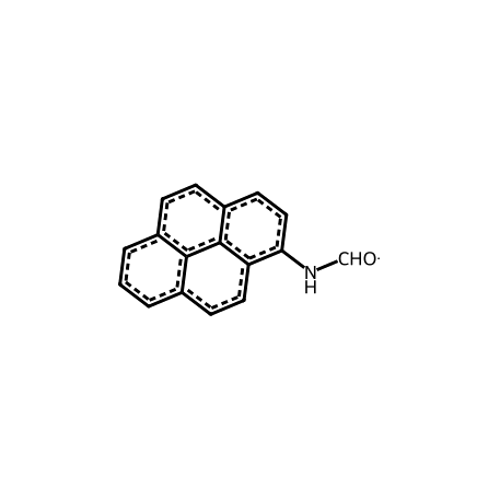 O=[C]Nc1ccc2ccc3cccc4ccc1c2c34